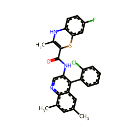 CC1=C(C(=O)Nc2cnc3c(C)cc(C)cc3c2-c2ccccc2Cl)Sc2cc(F)ccc2N1